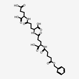 O=C(O)CCC(NC(=O)CCC(NC(=O)CCC(NC(=O)CCCC(=O)OCc1ccccc1)C(=O)O)C(=O)O)C(=O)O